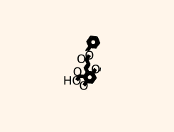 COc1ccc(OC)c(C(=O)O)c1C=CC(=O)OCc1ccccc1